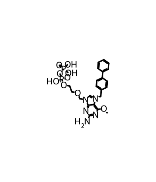 COc1nc(N)nc2c1[n+](Cc1ccc(-c3ccccc3)cc1)cn2COCCOP(=O)(O)OP(=O)(O)O